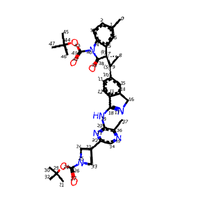 Cc1ccc2c(c1)[C@]1(C[C@H]1c1ccc3c(c1)CN=C3Nc1nc(C3CN(C(=O)OC(C)(C)C)C3)cnc1C)C(=O)N2C(=O)OC(C)(C)C